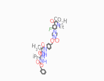 CCn1cc(C(=O)O)c(=O)c2cc(F)c(N3CCN(C(=O)OCc4ccc(NC(=O)[C@@H](C)c5nnc([C@@H](NC(=O)OCc6ccccc6)C(C)C)o5)cc4)CC3)cc21